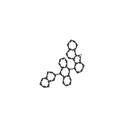 c1ccc2cc(-c3c4ccccc4c(-c4cccc5oc6c7ccccc7ccc6c45)c4ccccc34)ccc2c1